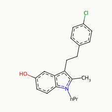 CCCn1c(C)c(CCc2ccc(Cl)cc2)c2cc(O)ccc21